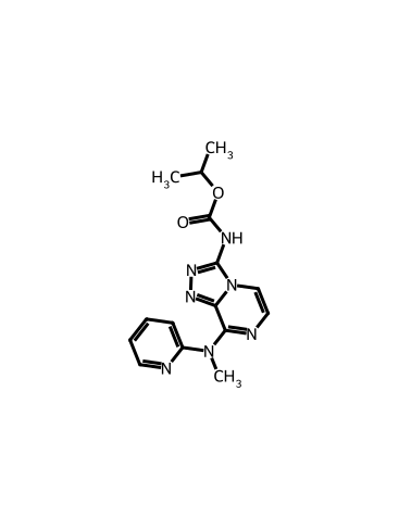 CC(C)OC(=O)Nc1nnc2c(N(C)c3ccccn3)nccn12